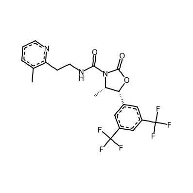 Cc1cccnc1CCNC(=O)N1C(=O)O[C@H](c2cc(C(F)(F)F)cc(C(F)(F)F)c2)[C@@H]1C